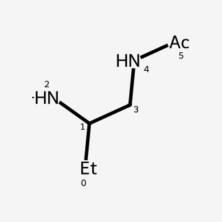 CCC([NH])CNC(C)=O